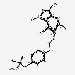 CCCc1nn(CC)c2c(=O)n(CCOc3ccc(SC(C)(C)C(=O)OCC)cc3)c(C)nc12